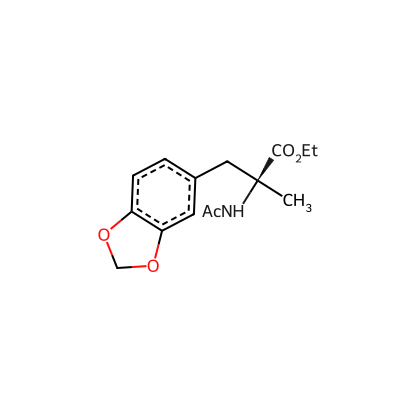 CCOC(=O)[C@](C)(Cc1ccc2c(c1)OCO2)NC(C)=O